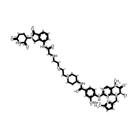 CC[C@@H]1C(=O)N(C)c2cnc(Nc3ccc(C(=O)NC4CCN(CCOCCNCC(=O)Nc5cccc6c5CN(C5CCC(=O)NC5=O)C6=O)CC4)cc3OC)nc2N1Cc1ccc(C)s1